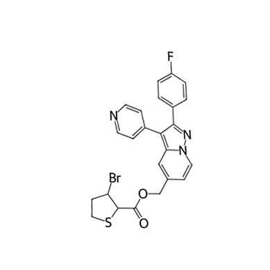 O=C(OCc1ccn2nc(-c3ccc(F)cc3)c(-c3ccncc3)c2c1)C1SCCC1Br